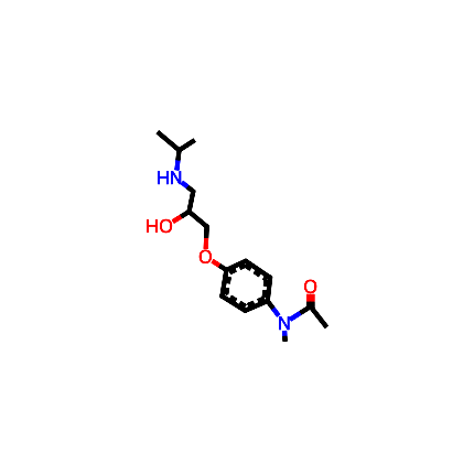 CC(=O)N(C)c1ccc(OCC(O)CNC(C)C)cc1